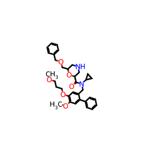 COCCCOc1cc(CN(C(=O)C2CNCC(COCc3ccccc3)O2)C2CC2)c(-c2ccccc2)cc1OC